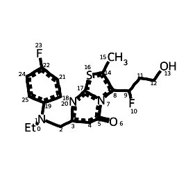 CCN(Cc1cc(=O)n2c(C(F)CCO)c(C)sc2n1)c1ccc(F)cc1